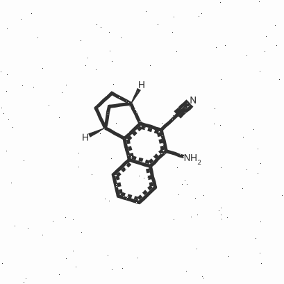 N#Cc1c2c(c3ccccc3c1N)[C@@H]1CC[C@H]2C1